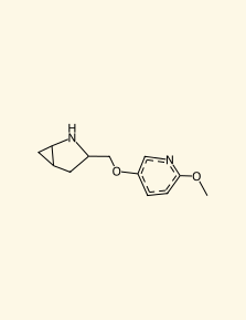 COc1ccc(OCC2CC3CC3N2)cn1